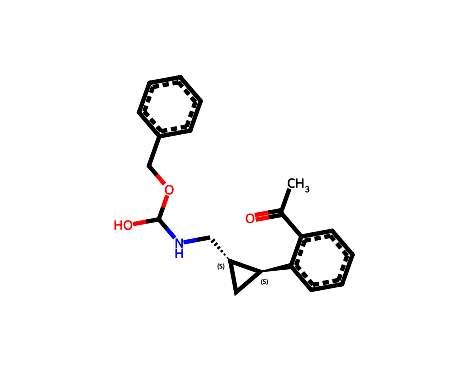 CC(=O)c1ccccc1[C@H]1C[C@@H]1CNC(O)OCc1ccccc1